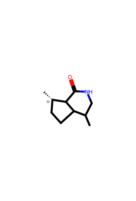 CC1CNC(=O)C2C1CC[C@@H]2C